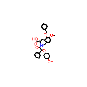 COc1ccc2c(c1OCc1ccccc1)C[C@H](C(=O)O)N(C(=O)[C@@H](O[C@H]1CC[C@H](O)CC1)c1ccccc1)C2